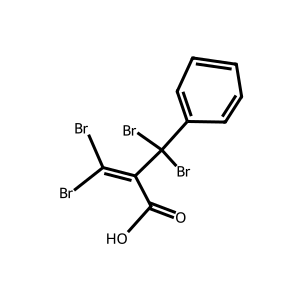 O=C(O)C(=C(Br)Br)C(Br)(Br)c1ccccc1